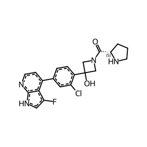 O=C([C@@H]1CCCN1)N1CC(O)(c2ccc(-c3ccnc4[nH]cc(F)c34)cc2Cl)C1